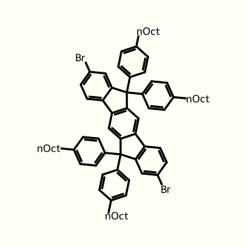 CCCCCCCCc1ccc(C2(c3ccc(CCCCCCCC)cc3)c3cc(Br)ccc3-c3cc4c(cc32)-c2ccc(Br)cc2C4(c2ccc(CCCCCCCC)cc2)c2ccc(CCCCCCCC)cc2)cc1